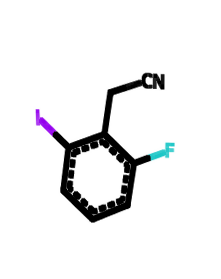 N#CCc1c(F)cccc1I